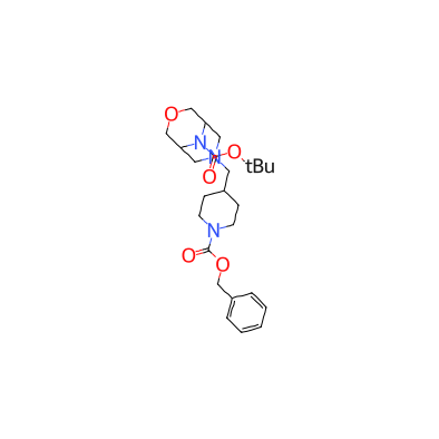 CC(C)(C)OC(=O)N1C2COCC1CN(CC1CCN(C(=O)OCc3ccccc3)CC1)C2